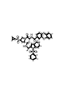 C[C@@H](NC(=O)[C@@H]1C[C@@H](S(=O)(=O)C2CC2)CN1C(=O)CNC(=O)c1ccc2c(c1)Oc1ccccc1S2)c1cc2cnccc2n1S(=O)(=O)c1ccccc1